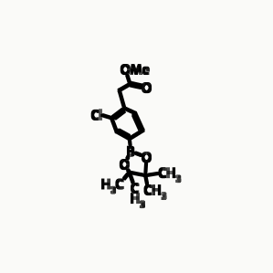 COC(=O)Cc1ccc(B2OC(C)(C)C(C)(C)O2)cc1Cl